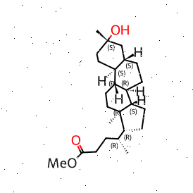 COC(=O)CC[C@@H](C)[C@H]1CC[C@H]2[C@@H]3CC[C@H]4C[C@@](C)(O)CC[C@@H]4[C@H]3CC[C@]12C